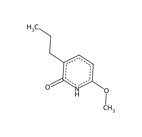 CCCc1ccc(OC)[nH]c1=O